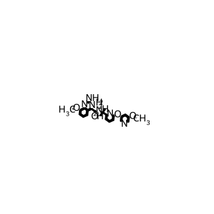 [2H]C([2H])(NC(=O)c1nc(N)nc2c(OC)cccc12)c1cccc(Oc2cncc(OC)c2)n1